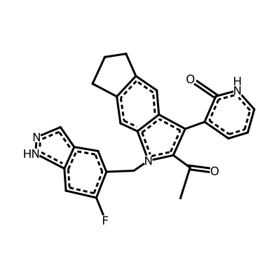 CC(=O)c1c(-c2ccc[nH]c2=O)c2cc3c(cc2n1Cc1cc2cn[nH]c2cc1F)CCC3